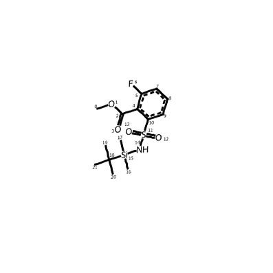 COC(=O)c1c(F)cccc1S(=O)(=O)N[Si](C)(C)C(C)(C)C